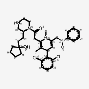 CC1=C(CC(=O)N2CCNCC2CCC2(O)CCCC2)N(C)C(C[S+]([O-])c2ccccc2)=CC1c1c(Cl)cccc1Cl